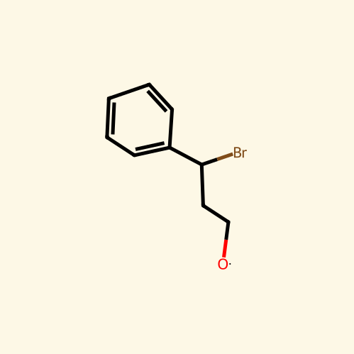 [O]CCC(Br)c1ccccc1